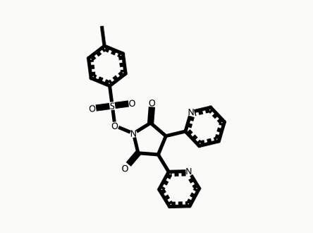 Cc1ccc(S(=O)(=O)ON2C(=O)C(c3ccccn3)C(c3ccccn3)C2=O)cc1